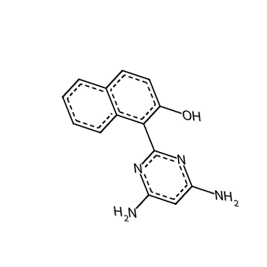 Nc1cc(N)nc(-c2c(O)ccc3ccccc23)n1